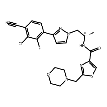 C[C@@H](Cn1ccc(-c2ccc(C#N)c(Cl)c2F)n1)NC(=O)c1csc(CN2CCOCC2)n1